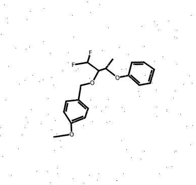 COc1ccc(COC(C(F)F)C(C)Oc2ccccc2)cc1